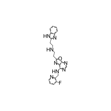 Fc1cccnc1CNc1ncnc2oc(CCNCCc3nc4ccccc4[nH]3)nc12